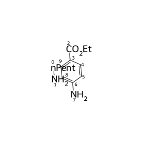 CCCCCN.CCOC(=O)c1ccc(N)cc1